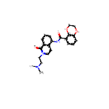 CN(C)CCn1ccc2c(NC(=O)c3cccc4c3OCCO4)cccc2c1=O